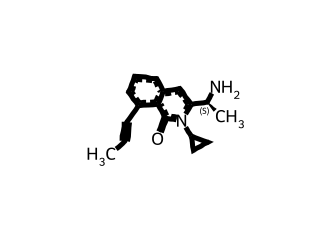 CC#Cc1cccc2cc([C@H](C)N)n(C3CC3)c(=O)c12